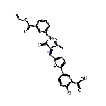 CCOC(=O)c1cccc(N2N=C(C)/C(=C\c3ccc(-c4ccc(Cl)c(C(=O)O)c4)o3)C2=O)c1